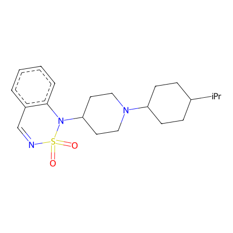 CC(C)C1CCC(N2CCC(N3c4ccccc4C=NS3(=O)=O)CC2)CC1